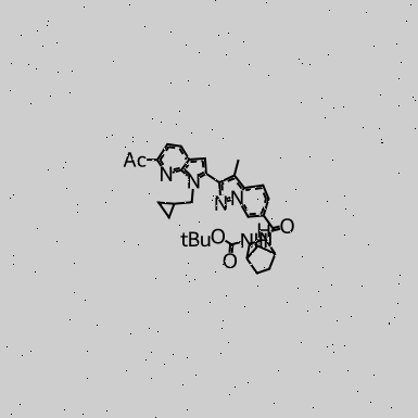 CC(=O)c1ccc2cc(-c3nn4cc(C(=O)N5CC6CCC5[C@@H]6NC(=O)OC(C)(C)C)ccc4c3C)n(CC3CC3)c2n1